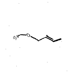 CC=CCO[N+](=O)[O-]